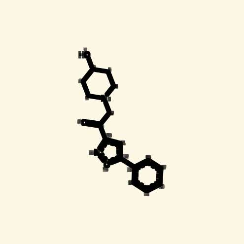 O=C(CN1CCC(O)CC1)c1cc(-c2ccccc2)on1